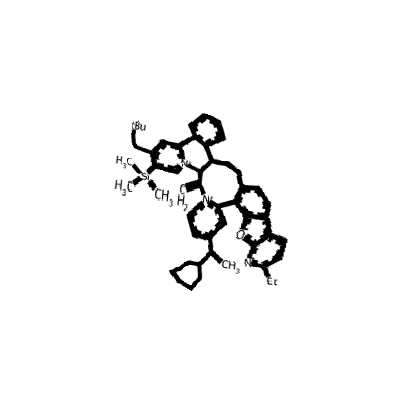 C=C1C2C(CCc3ccc4c(oc5nc(CC)ccc54)c3-c3cc(C(C)C4CCCCC4)cc[n+]31)c1ccccc1-c1cc(CC(C)(C)C)c([Si](C)(C)C)c[n+]12